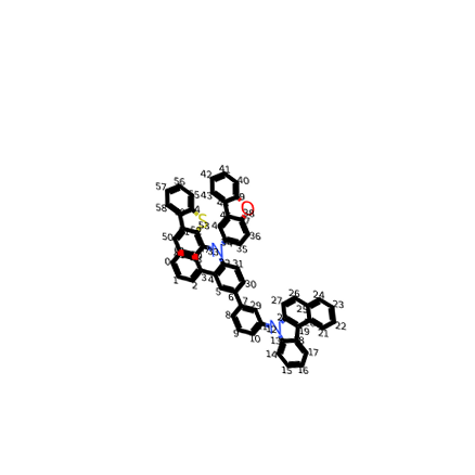 c1ccc(-c2cc(-c3cccc(-n4c5ccccc5c5c6ccccc6ccc54)c3)ccc2N(c2ccc3oc4ccccc4c3c2)c2cccc3c2sc2ccccc23)cc1